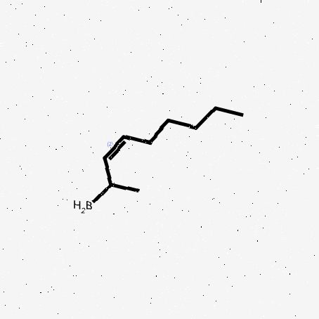 BC(C)/C=C\CCCCC